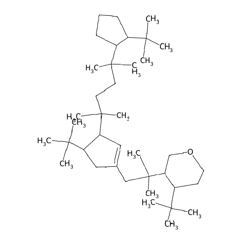 CC(C)(C)C1CC(CC(C)(C)C2COCCC2C(C)(C)C)=CC1C(C)(C)CCC(C)(C)C1CCCC1C(C)(C)C